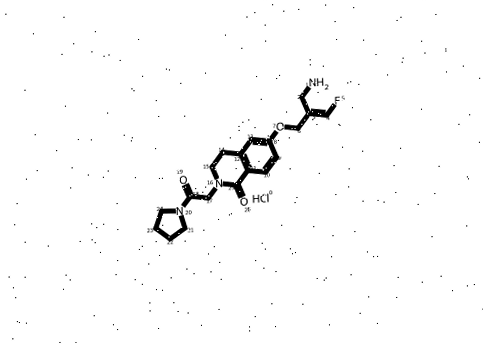 Cl.NC/C(=C\F)COc1ccc2c(c1)CCN(CC(=O)N1CCCC1)C2=O